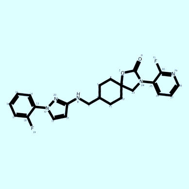 O=C1OC2(CCC(CNc3ccn(-c4ccccc4F)n3)CC2)CN1c1cccnc1F